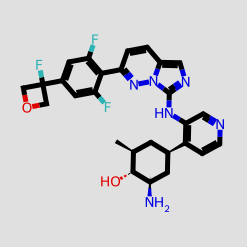 C[C@H]1C[C@@H](c2ccncc2Nc2ncc3ccc(-c4c(F)cc(C5(F)COC5)cc4F)nn23)C[C@@H](N)[C@@H]1O